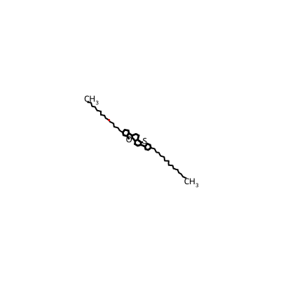 CCCCCCCCCCCCCCCCc1ccc2c(c1)oc1c2ccc2c1ccc1c3ccc(CCCCCCCCCCCCCCCC)cc3sc12